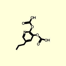 CCCc1cnc(OC(=O)O)c(OC(=O)O)c1